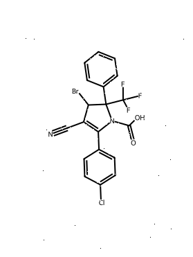 N#CC1=C(c2ccc(Cl)cc2)N(C(=O)O)C(c2ccccc2)(C(F)(F)F)C1Br